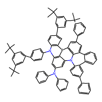 CC(C)(C)c1cc(-c2ccc(N3c4ccc(-c5cc(C(C)(C)C)cc(C(C)(C)C)c5)cc4B4c5cc(-c6ccccc6)cc6c5N(c5ccc(-c7ccccc7)cc5-c5ccccc5-6)c5cc(N(c6ccccc6)c6ccccc6)cc3c54)cc2)cc(C(C)(C)C)c1